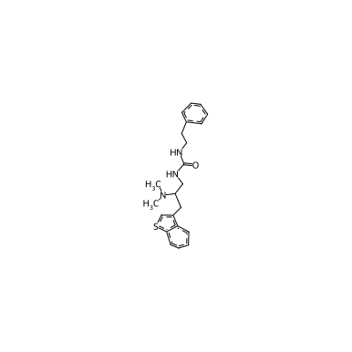 CN(C)C(CNC(=O)NCCc1ccccc1)Cc1csc2ccccc12